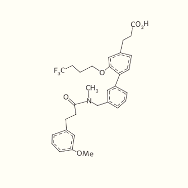 COc1cccc(CCC(=O)N(C)Cc2cccc(-c3ccc(CCC(=O)O)cc3OCCCC(F)(F)F)c2)c1